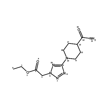 CCOC(=O)Cn1nnc(N2CCC(C(N)=O)CC2)n1